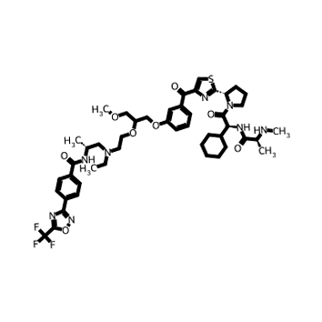 CCN(CCOC(COC)COc1cccc(C(=O)c2csc([C@@H]3CCCN3C(=O)[C@@H](NC(=O)[C@H](C)NC)C3CCCCC3)n2)c1)C[C@@H](C)NC(=O)c1ccc(-c2noc(C(F)(F)F)n2)cc1